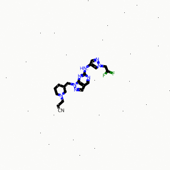 N#CCCN1CCCC(Cn2ncc3cnc(Nc4cnn(CC(F)F)c4)nc32)C1